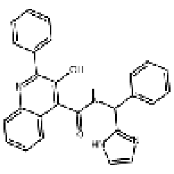 O=C(NC(c1ccccc1)c1ncc[nH]1)c1c(O)c(-c2ccccc2)nc2ccccc12